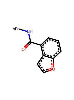 CCCNC(=O)c1cccc2occc12